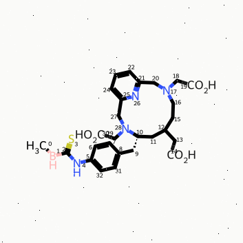 CBC(=S)Nc1ccc(C[C@H]2CC(CC(=O)O)CCN(CC(=O)O)Cc3cccc(n3)CN2CC(=O)O)cc1